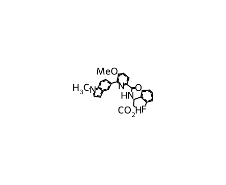 COc1ccc(C(=O)NC(CC(=O)O)c2ccccc2F)nc1-c1ccc2c(ccn2C)c1